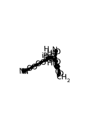 C=CC(=O)OCc1ccc(NC(=O)C(CCCNC(N)=O)NC(=O)C(NC(=O)CCOCCOCCOCCOCCN=[N+]=[N-])C(C)C)cc1